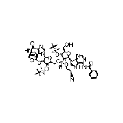 CC(C)(C)[Si](C)(C)O[C@@H]1C(COP(=O)(OCCC#N)[C@H]2C(n3cnc4c(NC(=O)c5ccccc5)ncnc43)OC(CO)[C@H]2O[Si](C)(C)C(C)(C)C)OC(n2cnc3c(=O)[nH]cnc32)[C@@H]1OC1CCCCO1